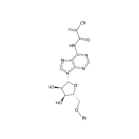 C=C(C#N)C(=O)Nc1ncnc2c1ncn2[C@@H]1O[C@H](COC(C)C)[C@@H](O)[C@H]1O